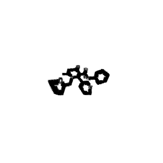 Cc1cc(=O)c(C(=O)Nc2ccccc2)c(-c2cccnc2)n1Cc1ccco1